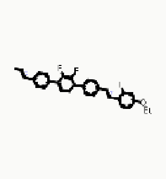 C/C=C/c1ccc(C2=CCC(c3ccc(/C=C/c4ccc(OCC)cc4F)cc3)C(F)=C2F)cc1